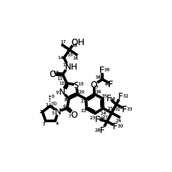 C[C@H]1CCCN1C(=O)c1nc(C(=O)NCC(C)(C)O)sc1-c1ccc(C(C)(C(F)(F)F)C(F)(F)F)cc1OC(F)F